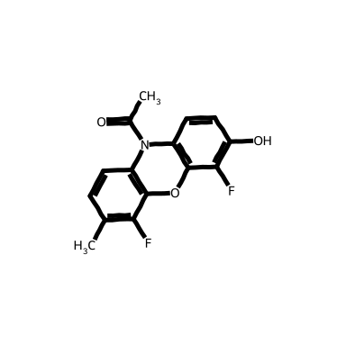 CC(=O)N1c2ccc(C)c(F)c2Oc2c1ccc(O)c2F